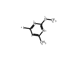 Cc1cc(I)nc(OC(F)(F)F)n1